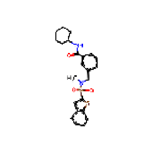 CN(Cc1cccc(C(=O)NC2CCCCC2)c1)S(=O)(=O)c1cc2ccccc2s1